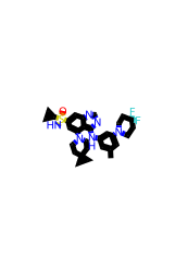 Cc1cc(Nc2ncnc3cc(S(=N)(=O)C4CC4)cc(N4CCC5(CC4)CC5)c23)cc(N2CCC(F)(F)CC2)c1